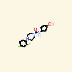 O=C(Nc1ccc(O)cc1)N1CCN(c2ccc(F)cc2F)CC1